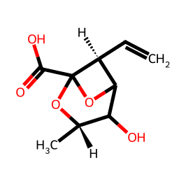 C=C[C@H]1C2OC1(C(=O)O)O[C@@H](C)C2O